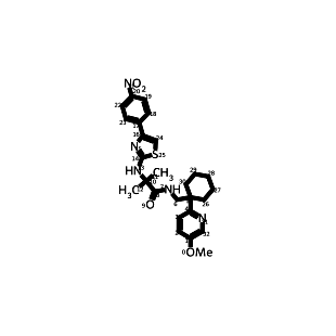 COc1ccc(C2(CNC(=O)C(C)(C)Nc3nc(-c4ccc([N+](=O)[O-])cc4)cs3)CCCCC2)nc1